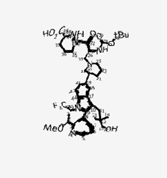 CO[C@@H](C)c1ncccc1-c1c(CC(C)(C)CO)c2cc(C3CCCN(C[C@H](NC(=O)OC(C)(C)C)C(=O)N4CCC[C@@H](C(=O)O)N4)C3)ccc2n1CC(F)(F)F